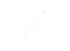 Nc1nc(C(=NO[C@H]2CCNC2=O)C(=O)O)cs1